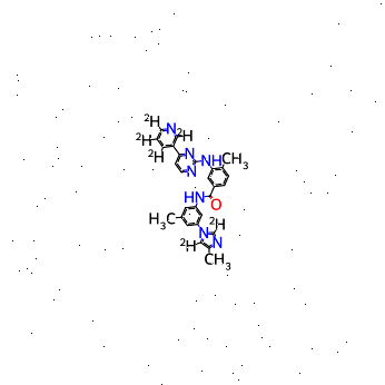 [2H]c1nc([2H])c(-c2ccnc(Nc3cc(C(=O)Nc4cc(C)cc(-n5c([2H])nc(C)c5[2H])c4)ccc3C)n2)c([2H])c1[2H]